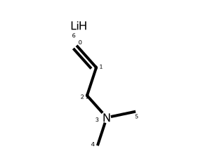 C=C[CH]N(C)C.[LiH]